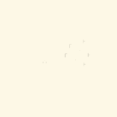 [CH2]COCC=C(C)C(F)(F)C(F)(F)F